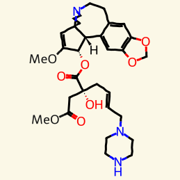 COC(=O)C[C@](O)(C/C=C/CN1CCNCC1)C(=O)O[C@@H]1C(OC)=C[C@]23CCCN2CCc2cc4c(cc2[C@H]13)OCO4